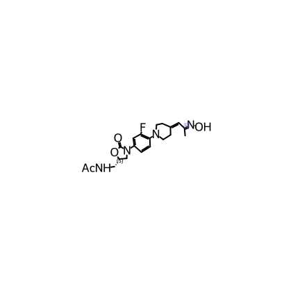 CC(=O)NC[C@H]1CN(c2ccc(N3CCC(=C/C(C)=N/O)CC3)c(F)c2)C(=O)O1